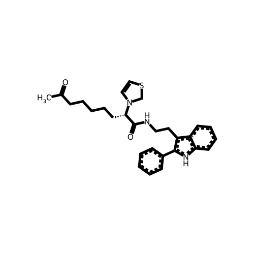 CC(=O)CCCCC[C@@H](C(=O)NCCc1c(-c2ccccc2)[nH]c2ccccc12)N1C=CSC1